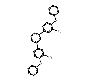 Nc1cc(-c2cccc(-c3ccc(Oc4ccccc4)c(N)c3)c2)ccc1Oc1ccccc1